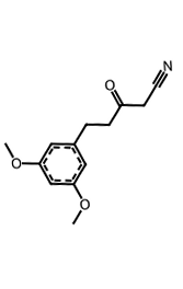 COc1cc(CCC(=O)CC#N)cc(OC)c1